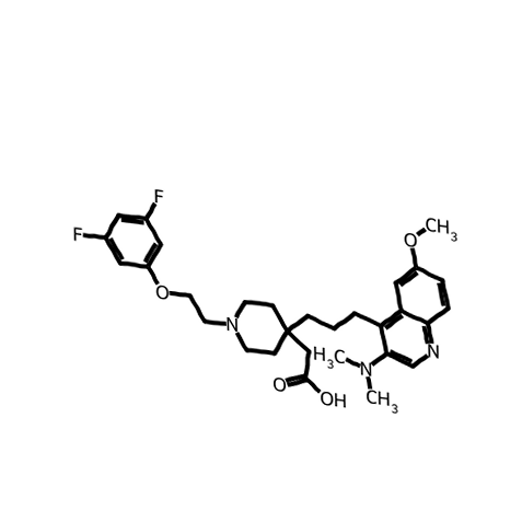 COc1ccc2ncc(N(C)C)c(CCCC3(CC(=O)O)CCN(CCOc4cc(F)cc(F)c4)CC3)c2c1